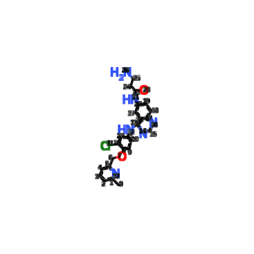 Cc1cccc(COc2ccc(Nc3ncnc4ccc(NC(=O)CCN)cc34)cc2Cl)n1